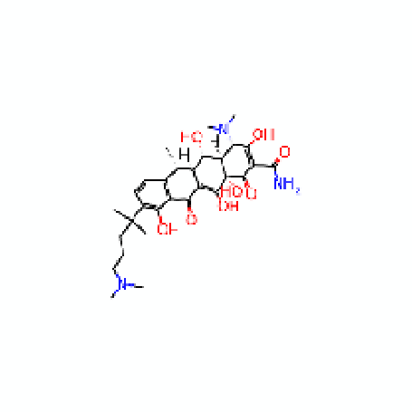 C[C@H]1c2ccc(C(C)(C)CCCN(C)C)c(O)c2C(=O)C2=C(O)[C@]3(O)C(=O)C(C(N)=O)=C(O)[C@@H](N(C)C)[C@@H]3[C@@H](O)[C@@H]21